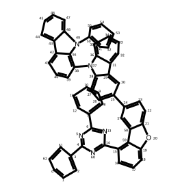 c1ccc(-c2nc(-c3ccccc3)nc(-c3cccc4oc5ccc(-c6ccc7c(c6)c6ccccc6n7-c6cccc7c8ccccc8n(-c8ccccc8)c67)cc5c34)n2)cc1